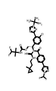 BC(B)(B)n1cnc(-c2cc([C@@H](COC(=O)NC(C)(C)C(F)F)N(C(=N)NCCC3(C)CC3)C(=O)c3ccc(-c4cnn(C(F)F)c4)cc3)ccc2Cl)n1